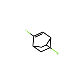 FC1=CC2CCC1CC2F